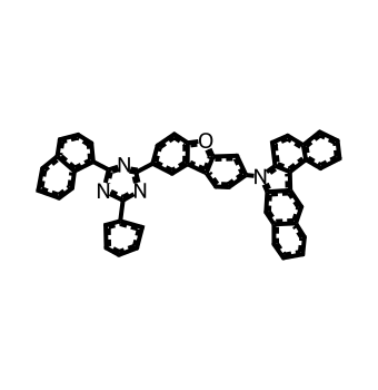 c1ccc(-c2nc(-c3ccc4oc5cc(-n6c7cc8ccccc8cc7c7c8ccccc8ccc76)ccc5c4c3)nc(-c3cccc4ccccc34)n2)cc1